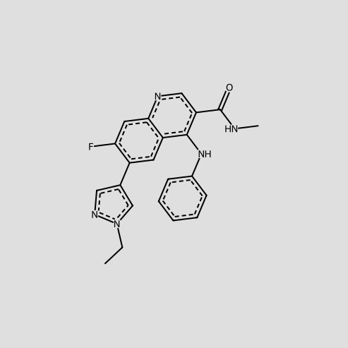 CCn1cc(-c2cc3c(Nc4ccccc4)c(C(=O)NC)cnc3cc2F)cn1